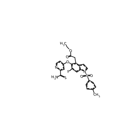 CCOC(=O)Cc1c(Oc2ccnc(C(N)=S)c2)c(F)cc2c1ccn2S(=O)(=O)c1ccc(C)cc1